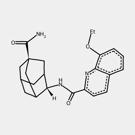 CCOc1cccc2ccc(C(=O)N[C@H]3C4CC5CC3C[C@](C(N)=O)(C5)C4)nc12